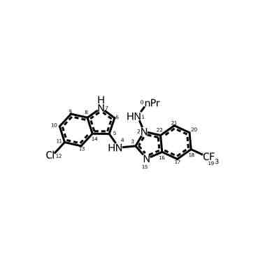 CCCNn1c(Nc2c[nH]c3ccc(Cl)cc23)nc2cc(C(F)(F)F)ccc21